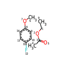 CCOC(C)=O.COc1ccc(F)cc1